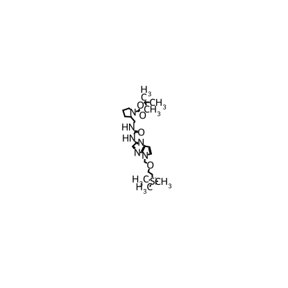 CC(C)(C)OC(=O)N1CCCC1CNC(=O)Nc1cnc2c(ccn2COCC[Si](C)(C)C)n1